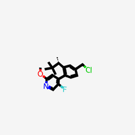 COc1cc(-c2ccc(CCl)cc2[C@@H](C)C(C)(C)C)c(F)cn1